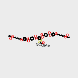 C=CC(=O)OCCCCCCOc1ccc(OC(=O)[C@H]2CC[C@H](C(=O)Oc3ccc(OC(=O)[C@H]4CC[C@H](C(=O)Oc5ccc(OCCCCCCOC(=O)C=C)cc5)CC4)c4c3SC(=C(C#N)C(=O)OC)S4)CC2)cc1